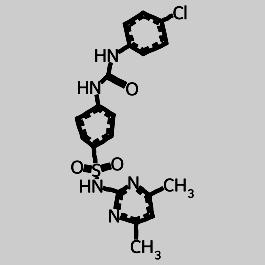 Cc1cc(C)nc(NS(=O)(=O)c2ccc(NC(=O)Nc3ccc(Cl)cc3)cc2)n1